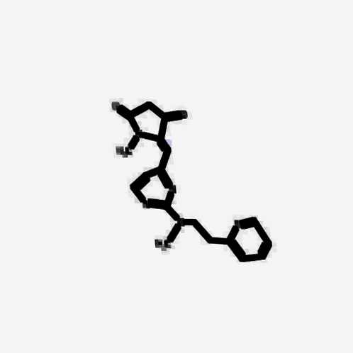 CN1C(=O)CC(=O)/C1=C/c1ccnc(N(C)CCc2ccccn2)n1